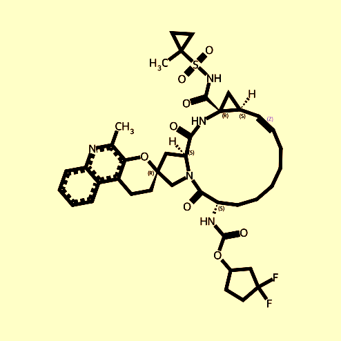 Cc1nc2ccccc2c2c1O[C@]1(CC2)C[C@H]2C(=O)N[C@]3(C(=O)NS(=O)(=O)C4(C)CC4)C[C@H]3/C=C\CCCCC[C@H](NC(=O)OC3CCC(F)(F)C3)C(=O)N2C1